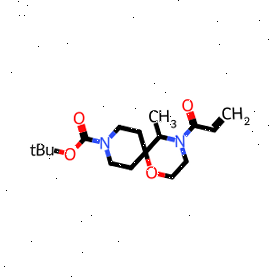 C=CC(=O)N1CCOC2(CCN(C(=O)OC(C)(C)C)CC2)C1C